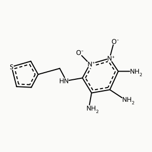 Nc1c(N)c(NCc2ccsc2)[n+]([O-])[n+]([O-])c1N